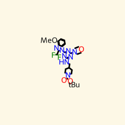 COc1cccc2c1nc(C(F)F)n2-c1nc(NCC2CCN(C(=O)OC(C)(C)C)CC2)nc(N2CCOCC2)n1